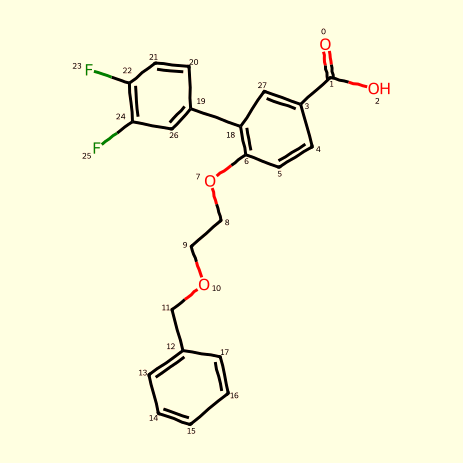 O=C(O)c1ccc(OCCOCc2ccccc2)c(-c2ccc(F)c(F)c2)c1